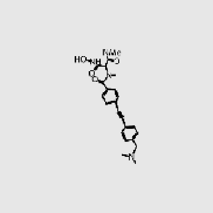 CNC(=O)C(C(=O)NO)N(C)C(=O)c1ccc(C#Cc2ccc(CN(C)C)cc2)cc1